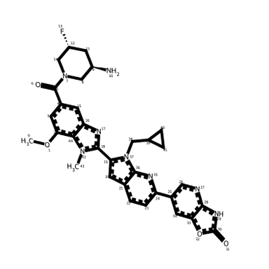 COc1cc(C(=O)N2C[C@H](N)C[C@@H](F)C2)cc2nc(-c3cc4ccc(-c5cnc6[nH]c(=O)oc6c5)nc4n3CC3CC3)n(C)c12